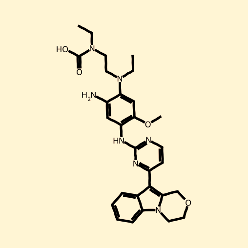 CCN(CCN(CC)c1cc(OC)c(Nc2nccc(-c3c4n(c5ccccc35)CCOC4)n2)cc1N)C(=O)O